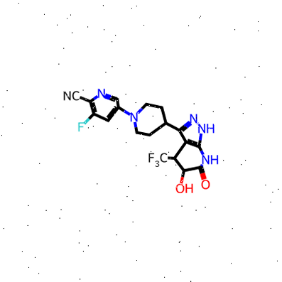 N#Cc1ncc(N2CCC(c3n[nH]c4c3C(C(F)(F)F)C(O)C(=O)N4)CC2)cc1F